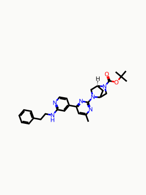 Cc1cc(-c2ccnc(NCCc3ccccc3)c2)nc(N2C[C@@H]3CC2CN3C(=O)OC(C)(C)C)n1